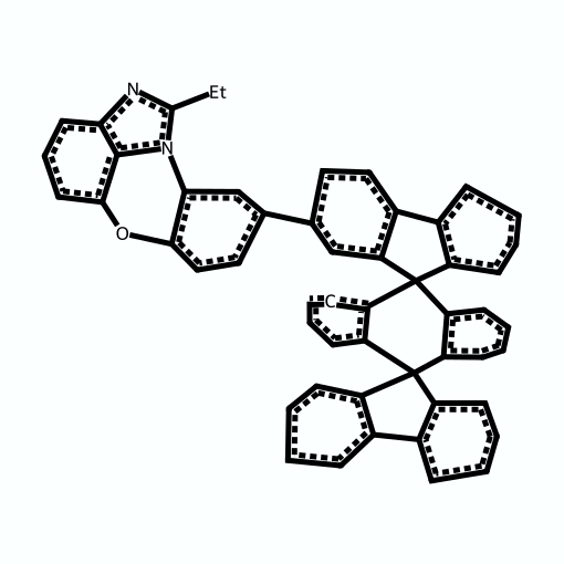 CCc1nc2cccc3c2n1-c1cc(-c2ccc4c(c2)C2(c5ccccc5-4)c4ccccc4C4(c5ccccc5-c5ccccc54)c4ccccc42)ccc1O3